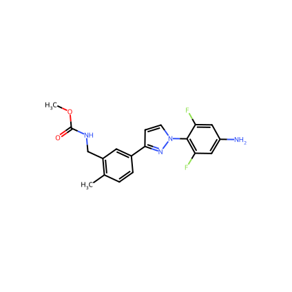 COC(=O)NCc1cc(-c2ccn(-c3c(F)cc(N)cc3F)n2)ccc1C